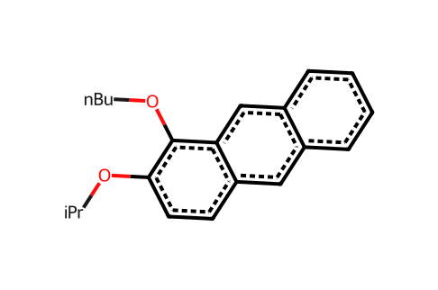 CCCCOc1c(OC(C)C)ccc2cc3ccccc3cc12